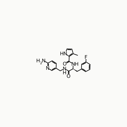 Cc1cc[nH]c1C(=O)N[C@@H](Cc1cccc(F)c1)C(=O)NCc1ccc(N)nc1